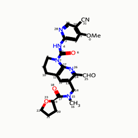 COc1cc(NC(=O)N2CCCc3cc(CN(C)C(=O)[C@H]4CCCO4)c(C=O)nc32)ncc1C#N